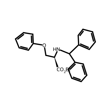 CCOC(=O)[C@@H](COc1ccccc1)NC(c1ccccc1)c1ccccc1